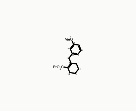 CCOC(=O)C1=C(Cc2cccc(OC)c2)CCCC1